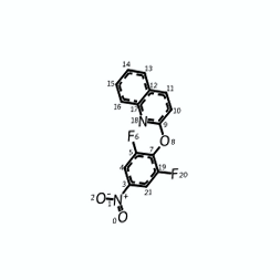 O=[N+]([O-])c1cc(F)c(Oc2ccc3ccccc3n2)c(F)c1